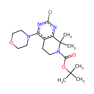 CC(C)(C)OC(=O)N1CCc2c(N3CCOCC3)nc(Cl)nc2C1(C)C